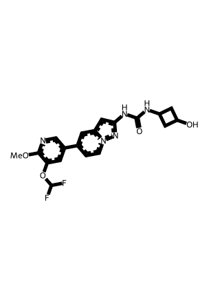 COc1ncc(-c2ccn3nc(NC(=O)NC4CC(O)C4)cc3c2)cc1OC(F)F